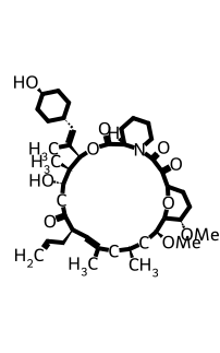 C=CC[C@@H]1/C=C(\C)C[C@H](C)C[C@H](OC)C2OC(CC[C@@H]2OC)C(=O)C(=O)N2CCCC[C@H]2C(=O)O[C@H](/C(C)=C/[C@H]2CC[C@H](O)CC2)[C@H](C)[C@@H](O)CC1=O